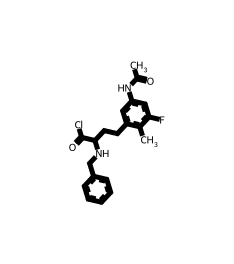 CC(=O)Nc1cc(F)c(C)c(CCC(NCc2ccccc2)C(=O)Cl)c1